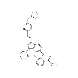 CCNC(=O)c1cccc(F)c1Sc1ccc2c(/C=C/c3ccc(CN4CCCC4)cn3)cn(C3CCCCO3)c2c1